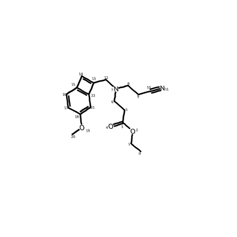 CCOC(=O)CCN(CCC#N)CC1=Cc2ccc(OC)cc21